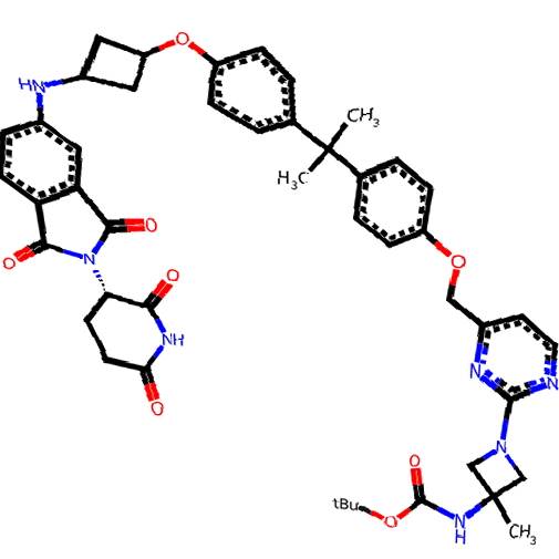 CC1(NC(=O)OC(C)(C)C)CN(c2nccc(COc3ccc(C(C)(C)c4ccc(OC5CC(Nc6ccc7c(c6)C(=O)N([C@H]6CCC(=O)NC6=O)C7=O)C5)cc4)cc3)n2)C1